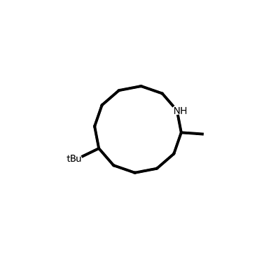 CC1CCCCC(C(C)(C)C)CCCCCN1